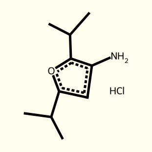 CC(C)c1cc(N)c(C(C)C)o1.Cl